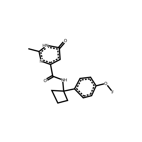 Cc1nc(C(=O)NC2(c3ccc(OF)cc3)CCC2)cc(=O)[nH]1